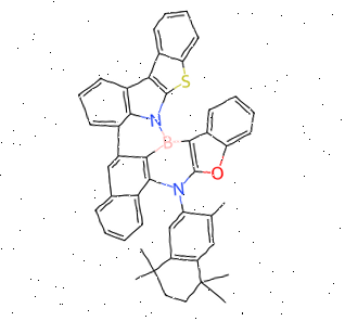 Cc1cc2c(cc1N1c3oc4ccccc4c3B3c4c(cc5ccccc5c41)-c1cccc4c5c6ccccc6sc5n3c14)C(C)(C)CCC2(C)C